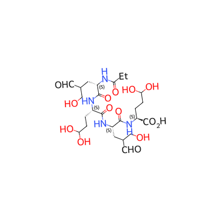 CCC(=O)N[C@@H](CC(C=O)CO)C(=O)N[C@@H](CCC(O)O)C(=O)N[C@@H](CC(C=O)CO)C(=O)N[C@@H](CCC(O)O)C(=O)O